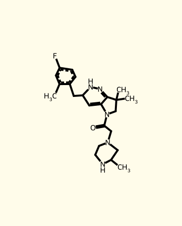 Cc1cc(F)ccc1CC1C=C2C(=NN1)C(C)(C)CN2C(=O)CN1CCNC(C)C1